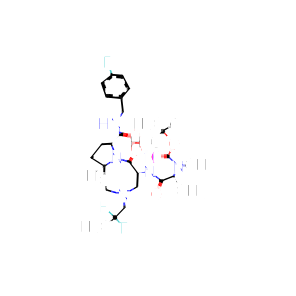 C[C@@H](C(=O)N[C@H]1CN(CC(C)(F)F)CC[C@H]2CC[C@@H](C(=O)NCc3ccc(F)cc3)N2C1=O)N(C)C(=O)OC(C)(C)C